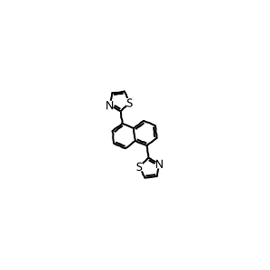 c1cc(-c2nccs2)c2cccc(-c3nccs3)c2c1